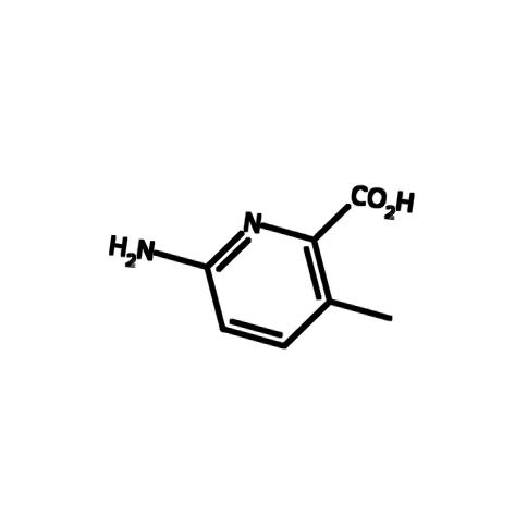 Cc1ccc(N)nc1C(=O)O